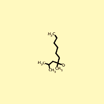 CCCCCCC(C)([O])CC(C)C